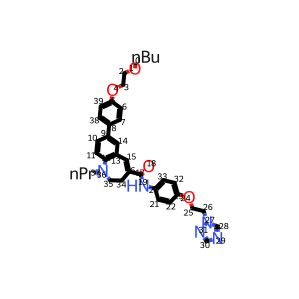 CCCCOCCOc1ccc(-c2ccc3c(c2)C=C(C(=O)Nc2ccc(OCCn4cncn4)cc2)CCN3CCC)cc1